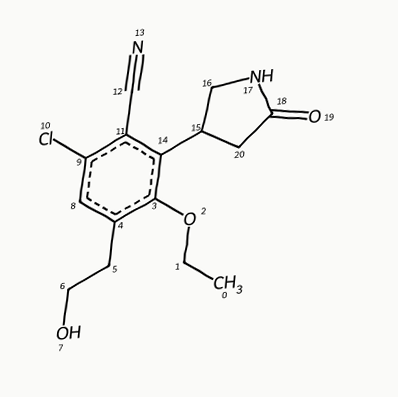 CCOc1c(CCO)cc(Cl)c(C#N)c1C1CNC(=O)C1